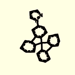 c1ccc2c(c1)-c1ccccc1C21c2ccccc2-c2cc(-n3cccn3)ccc21